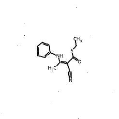 CCSC(=O)/C(C#N)=C(/C)Nc1ccccc1